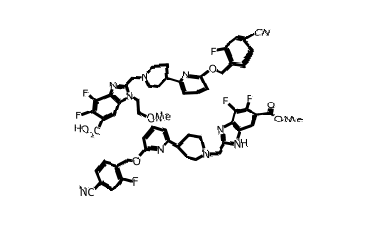 COC(=O)c1cc2[nH]c(CN3CCC(c4cccc(OCc5ccc(C#N)cc5F)n4)CC3)nc2c(F)c1F.COCCn1c(CN2CCC(c3cccc(OCc4ccc(C#N)cc4F)n3)CC2)nc2c(F)c(F)c(C(=O)O)cc21